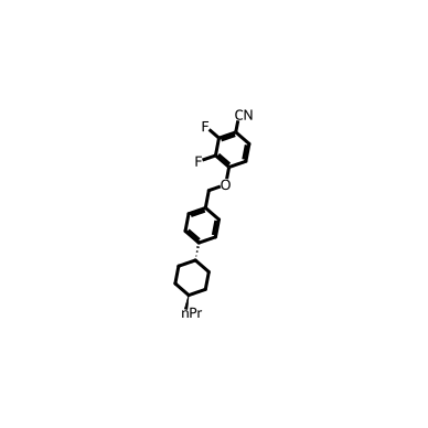 CCC[C@H]1CC[C@H](c2ccc(COc3ccc(C#N)c(F)c3F)cc2)CC1